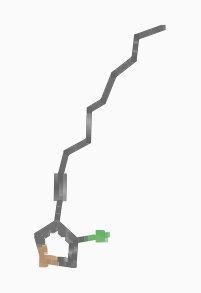 CCCCCCCCC#Cc1cscc1Br